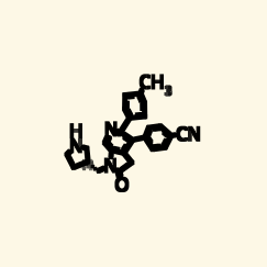 Cc1ccc(-c2ncc3c(c2-c2ccc(C#N)cc2)CC(=O)N3C[C@@H]2CCNC2)cc1